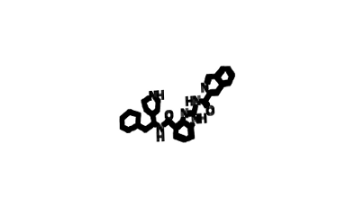 O=C(Nc1nc2c(C(=O)NC(CC3CCCCC3)C3CCNCC3)cccc2[nH]1)c1cc2ccccc2cn1